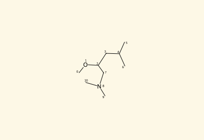 COC(CC(C)C)CN(C)C